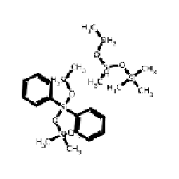 C[SiH2]O[SiH](C)O[Si](C)(C)C.C[SiH2]O[Si](O[Si](C)(C)C)(c1ccccc1)c1ccccc1